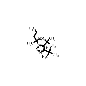 CCCC(C)(C)n1nnc(C(C)(C)C)c1C(C)(C)C